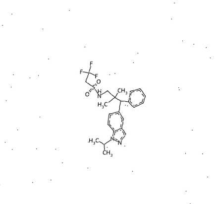 CC(C)n1ncc2cc(C(c3ccccc3)C(C)(C)CNS(=O)(=O)CC(F)(F)F)ccc21